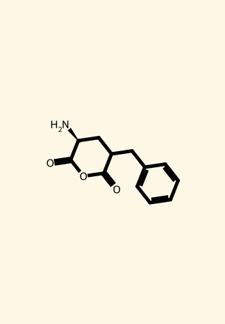 N[C@H]1CC(Cc2ccccc2)C(=O)OC1=O